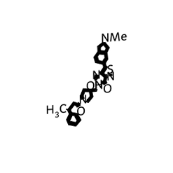 CNC1Cc2ccc(-c3snc4c(=O)n(CC5(O)CCN(C(=O)C[C@@H](C)c6ccccc6)CC5)cnc34)cc2C1